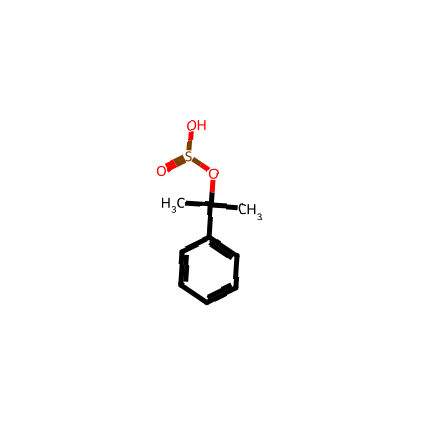 CC(C)(OS(=O)O)c1ccccc1